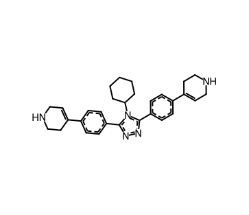 C1=C(c2ccc(-c3nnc(-c4ccc(C5=CCNCC5)cc4)n3C3CCCCC3)cc2)CCNC1